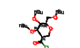 CCCCOC[C@H]1OC[C@@H](C(=O)Cl)[C@@H](OCCCC)[C@H]1OCCCC